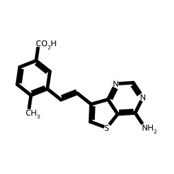 Cc1ccc(C(=O)O)cc1C=Cc1csc2c(N)ncnc12